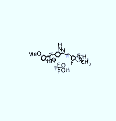 COc1ccc2c(c1)[C@]1(C[C@H]1c1ccc3c(/C=C/c4cc(F)c(CN(C)C)c(F)c4)n[nH]c3c1)C(=O)N2.O=C(O)C(F)(F)F